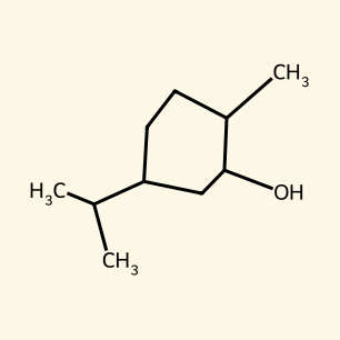 CC(C)C1CCC(C)C(O)C1